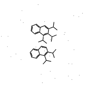 CC(C)c1cc2ccccc2c(C(C)C)c1C(C)C.CC(C)c1ccc2ccccc2c1C(C)C